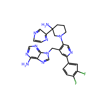 Nc1ncnc2c1ncn2Cc1cc(-c2ccc(F)c(F)c2)ncc1N1CCCC(N)(c2cnccn2)C1